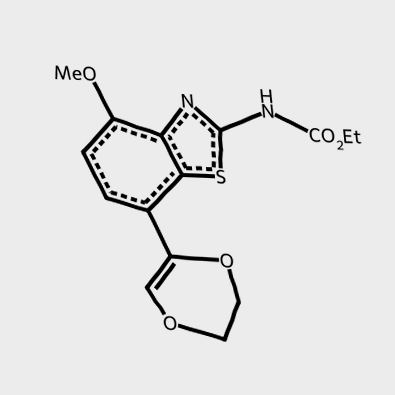 CCOC(=O)Nc1nc2c(OC)ccc(C3=COCCO3)c2s1